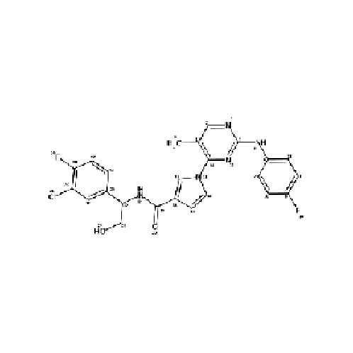 Cc1cnc(Nc2ccc(F)cc2)nc1-n1ccc(C(=O)NC(CO)c2ccc(F)c(Cl)c2)c1